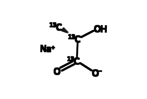 [13CH3][13C@H](O)[13C](=O)[O-].[Na+]